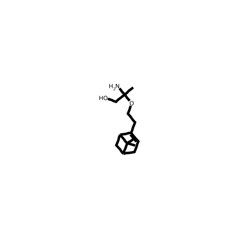 CC(N)(CO)OCCC1=CCC2CC1C2(C)C